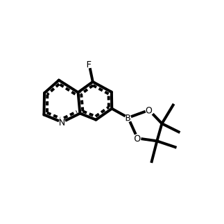 CC1(C)OB(c2cc(F)c3cccnc3c2)OC1(C)C